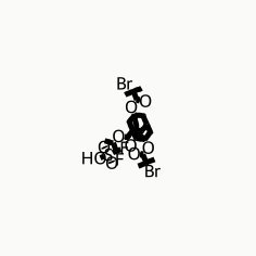 CC(OC(=O)C12CC3CC(OC(=O)C(C)(C)Br)(CC(OC(=O)C(C)(C)Br)(C3)C1)C2)C(F)(F)S(=O)(=O)O